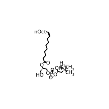 CCCCCCCC/C=C\CCCCCCCC(=O)O[C@H](CO)COP(=O)([O-])OC(O)C[N+](C)(C)C